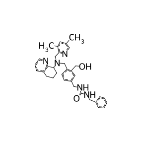 Cc1cnc(CN(Cc2ccc(CNC(=O)NCc3ccccc3)cc2CO)[C@H]2CCCc3cccnc32)c(C)c1